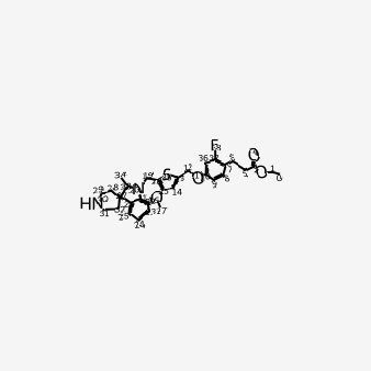 CCOC(=O)CCc1ccc(OCc2cc(OC)c(CN3c4ccccc4C4(CCNCC4)C3C)s2)cc1F